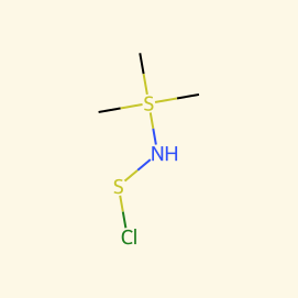 CS(C)(C)NSCl